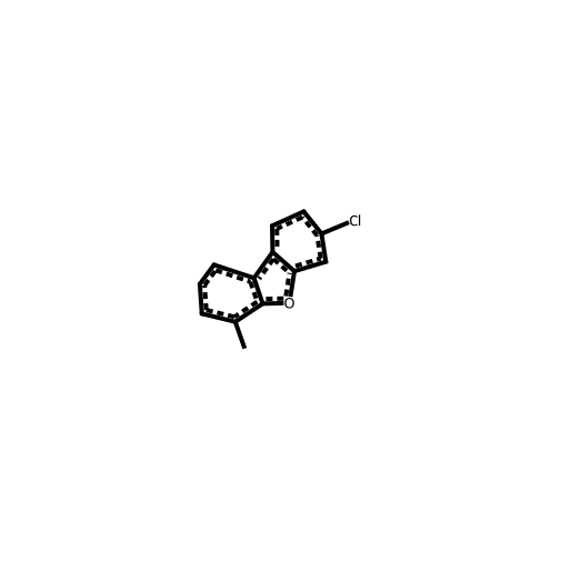 Cc1cccc2c1oc1cc(Cl)ccc12